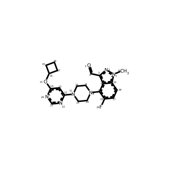 Cn1nc(C=O)c2c(N3CCN(c4cc(OC5CCC5)ncn4)CC3)c(F)ccc21